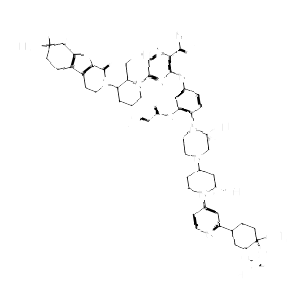 C=CC(=O)Nc1cc(Nc2nc(N3CCCC(N4CCc5c(sc6c5CCC(C)(C)C6)C4=O)C3CO)cnc2C(N)=O)ccc1N1CCN(C2CCN(c3ccnc(C4CCC(C)(OP(=O)(O)O)CC4)c3)[C@H](C)C2)C[C@@H]1C